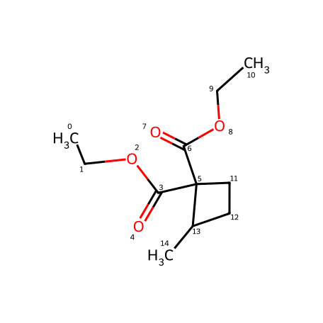 CCOC(=O)C1(C(=O)OCC)CCC1C